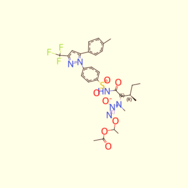 CC[C@@H](C)[C@@H](C(=O)NS(=O)(=O)c1ccc(-n2nc(C(F)(F)F)cc2-c2ccc(C)cc2)cc1)N(C)/[N+]([O-])=N\OC(C)OC(C)=O